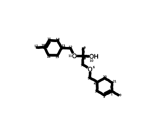 CC1=CCC(COCC(C)(O)OCC2CC=C(C)CC2)CC1